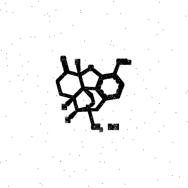 Br.COc1ccc2c3c1O[C@H]1C(=O)CC[C@H]4[C@@H](C2)N(C)CC[C@]314